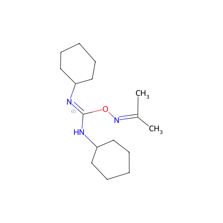 CC(C)=NO/C(=N\C1CCCCC1)NC1CCCCC1